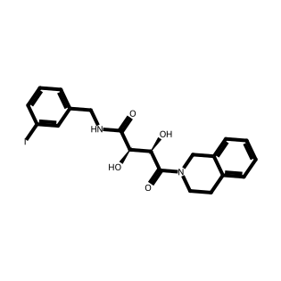 O=C(NCc1cccc(I)c1)[C@H](O)[C@@H](O)C(=O)N1CCc2ccccc2C1